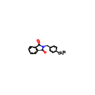 CCOC(=O)c1ccc(CN2C(=O)c3ccccc3C2=O)cc1